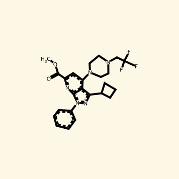 COC(=O)c1cc(N2CCN(CC(F)(F)F)CC2)c2c(C3CCC3)nn(-c3ccccc3)c2n1